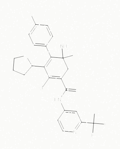 NC1(F)CC(C(=O)Nc2ccnc(C(F)(F)F)c2)=C(Cl)C(C2CCCO2)=C1c1ccc(F)cc1